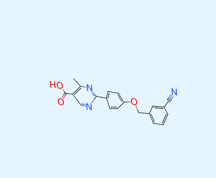 Cc1nc(-c2ccc(OCc3cccc(C#N)c3)cc2)ncc1C(=O)O